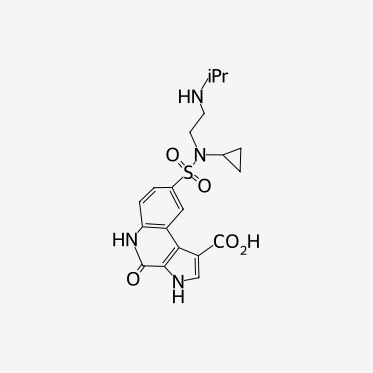 CC(C)NCCN(C1CC1)S(=O)(=O)c1ccc2[nH]c(=O)c3[nH]cc(C(=O)O)c3c2c1